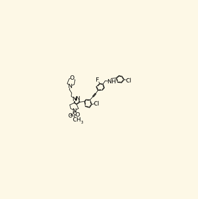 CS(=O)(=O)N1CCc2c(c(-c3ccc(Cl)c(C#Cc4ccc(CNCc5ccc(Cl)cc5)c(F)c4)c3)nn2CCCN2CCOCC2)C1